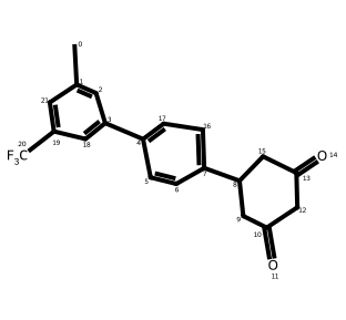 Cc1cc(-c2ccc(C3CC(=O)CC(=O)C3)cc2)cc(C(F)(F)F)c1